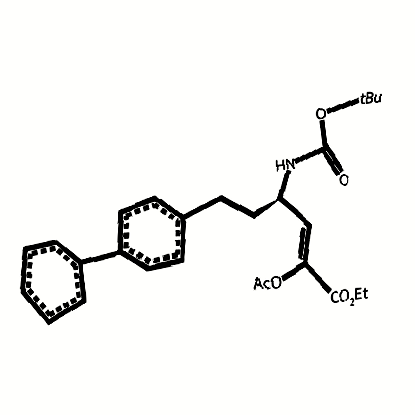 CCOC(=O)/C(=C/[C@@H](CCc1ccc(-c2ccccc2)cc1)NC(=O)OC(C)(C)C)OC(C)=O